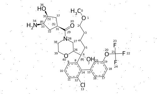 COCCCC[C@@](O)(c1cccc(Cl)c1-c1cccc(OC(F)(F)F)c1)C1CN(C(=O)[C@H]2C[C@@H](N)[C@@H](O)C2)CCO1